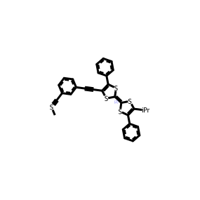 CS#Cc1cccc(C#CC2=C(c3ccccc3)S/C(=C3/SC(c4ccccc4)=C(C(C)C)S3)S2)c1